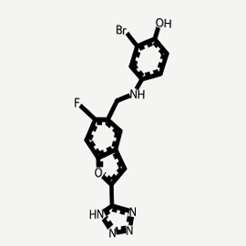 Oc1ccc(NCc2cc3cc(-c4nnn[nH]4)oc3cc2F)cc1Br